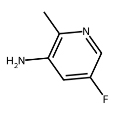 Cc1ncc(F)cc1N